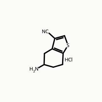 Cl.N#Cc1csc2c1CC(N)CC2